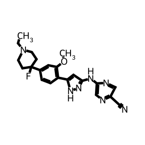 CCN1CCC(F)(c2ccc(-c3cc(Nc4cnc(C#N)cn4)n[nH]3)c(OC)c2)CC1